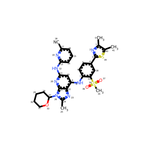 Cc1nc(-c2ccc(Nc3cc(Nc4cccc(C#N)n4)nc4c3nc(C)n4C3CCCCO3)c(S(C)(=O)=O)c2)sc1C